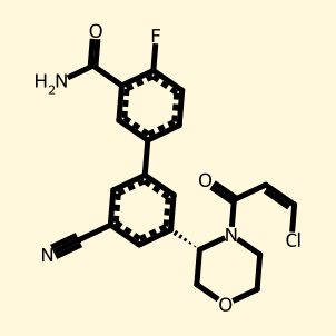 N#Cc1cc(-c2ccc(F)c(C(N)=O)c2)cc([C@H]2COCCN2C(=O)/C=C\Cl)c1